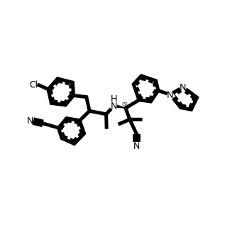 CC(N[C@@H](c1cccc(-n2cccn2)c1)C(C)(C)C#N)C(Cc1ccc(Cl)cc1)c1cccc(C#N)c1